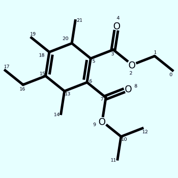 CCOC(=O)C1=C(C(=O)OC(C)C)C(C)C(CC)=C(C)C1C